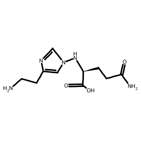 NCCc1cn(N[C@@H](CCC(N)=O)C(=O)O)cn1